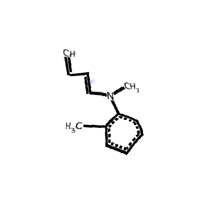 [CH]=C/C=C/N(C)c1ccccc1C